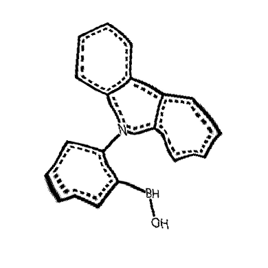 OBc1ccccc1-n1c2ccccc2c2ccccc21